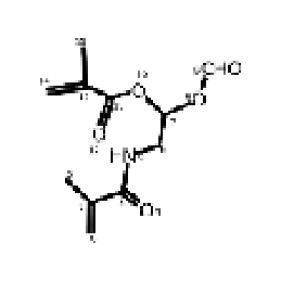 C=C(C)C(=O)NCC(OC=O)OC(=O)C(=C)C